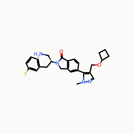 Cn1ncc(COC2CCC2)c1-c1ccc2c(c1)CN([C@H](CN)Cc1cccc(F)c1)C2=O